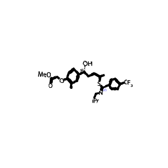 COC(=O)COc1ccc([C@H](O)CCC(C)S/C(=N\CC(C)C)c2ccc(C(F)(F)F)cc2)cc1C